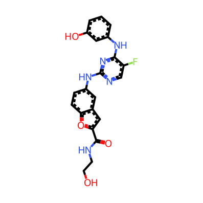 O=C(NCCO)c1cc2cc(Nc3ncc(F)c(Nc4cccc(O)c4)n3)ccc2o1